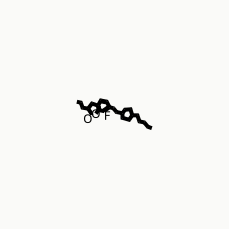 CCCCCC1CCC(CCc2ccc3c(c2F)OC(=O)C(CCC)C3)CC1